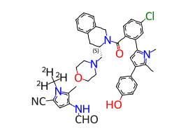 Cc1c(-c2ccc(O)cc2)cc(-c2cc(Cl)ccc2C(=O)N2Cc3ccccc3C[C@H]2CN2CCOCC2)n1C.[2H]C([2H])([2H])n1c(C#N)cc(NC=O)c1C